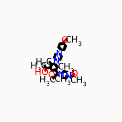 COc1ccc(N2CCN(c3c(C)c(C(C)O)c4c(c3C)C(N3CCN(C(C)=O)CC3)C(C)(C)O4)CC2)cc1